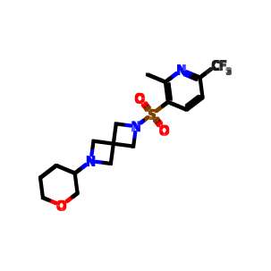 Cc1nc(C(F)(F)F)ccc1S(=O)(=O)N1CC2(CN(C3CCCOC3)C2)C1